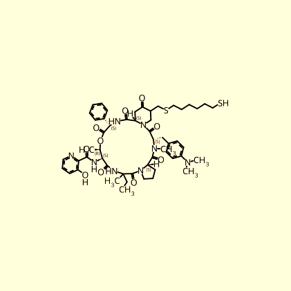 CCC1(C)NC(=O)[C@@H](NC(=O)c2ncccc2O)[C@@H](C)OC(=O)[C@H](c2ccccc2)NC(=O)[C@@H]2CC(=O)C(CSCCCCCCS)CN2C(=O)[C@H](Cc2ccc(N(C)C)cc2)N(C)C(=O)[C@@H]2CCCN2C1=O